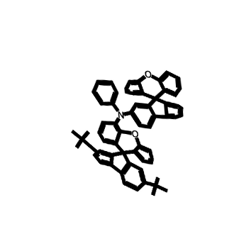 CC(C)(C)c1ccc2c(c1)C1(c3ccccc3Oc3c(N(c4ccccc4)c4ccc5c(c4)C4(c6ccccc6Oc6ccccc64)c4ccccc4-5)cccc31)c1cc(C(C)(C)C)ccc1-2